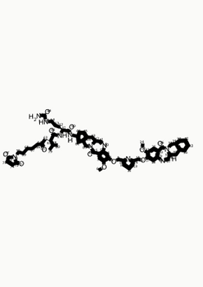 COc1cc2c(cc1OCc1cccc(COc3cc4c(cc3OC)C(=O)N3Cc5ccccc5C[C@H]3C=N4)n1)N=CC1Cc3ccc(NC(=O)[C@H](CCCNC(N)=O)NC(=O)[C@@H](CC(=O)CCCCCN4C(=O)C=CC4=O)C(C)C)cc3CN1C2=O